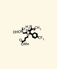 C=N/C(N)=c1/nc(CN(C=O)CC)n(CCCC(=O)OC)/c1=C1\C=CC(C(F)(F)F)=CC1